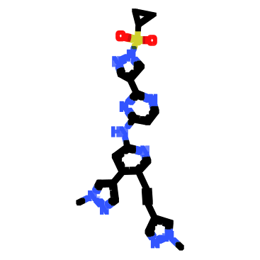 Cn1cc(C#Cc2cnc(Nc3ccnc(-c4cnn(S(=O)(=O)C5CC5)c4)n3)cc2-c2cnn(C)c2)cn1